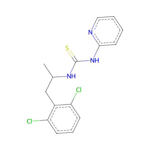 CC(Cc1c(Cl)cccc1Cl)NC(=S)Nc1ccccn1